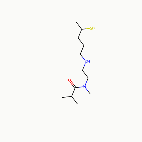 CC(S)CCCNCCN(C)C(=O)C(C)C